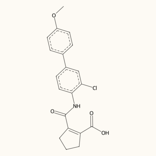 COc1ccc(-c2ccc(NC(=O)C3=C(C(=O)O)CCC3)c(Cl)c2)cc1